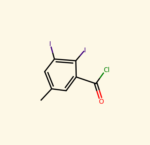 Cc1cc(I)c(I)c(C(=O)Cl)c1